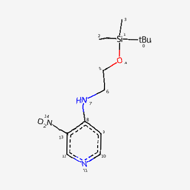 CC(C)(C)[Si](C)(C)OCCNc1ccncc1[N+](=O)[O-]